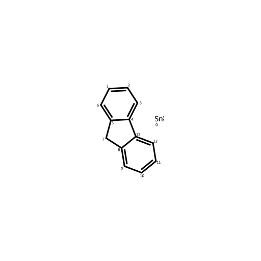 [Sn].c1ccc2c(c1)Cc1ccccc1-2